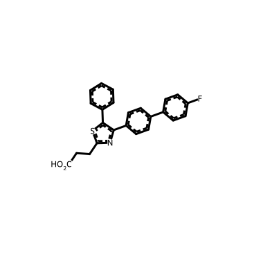 O=C(O)CCc1nc(-c2ccc(-c3ccc(F)cc3)cc2)c(-c2ccccc2)s1